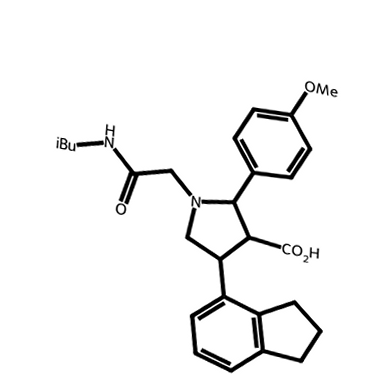 CCC(C)NC(=O)CN1CC(c2cccc3c2CCC3)C(C(=O)O)C1c1ccc(OC)cc1